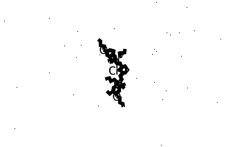 CCCCOc1ccc2c(c1)C(C)(C)C(/C=C/C1=C(Cl)C(=C/C=C3\N(CCCC)c4cc(CC)c(OCCCC)cc4C3(C)C)/CCC1)=[N+]2CCCC